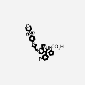 O=C(O)N[C@H]1CCC[C@@H]1C(CN1CCC1)(c1cccc(F)c1)C1CCN(CC2CN(c3ccc(S(=O)(=O)C4CCOCC4)cc3)C2)CC1